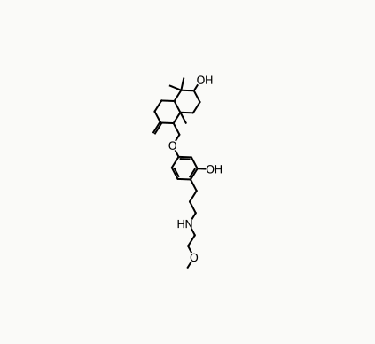 C=C1CCC2C(C)(C)C(O)CCC2(C)C1COc1ccc(CCCNCCOC)c(O)c1